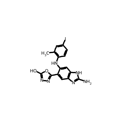 Cc1cc(I)ccc1Nc1cc2[nH]c(N)nc2cc1-c1nnc(O)o1